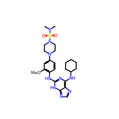 COc1cc(N2CCN(S(=O)(=O)N(C)C)CC2)ccc1Nc1nc(NC2CCCCC2)c2ncnc-2[nH]1